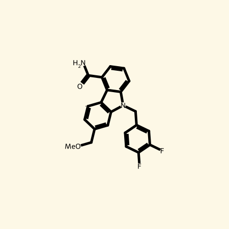 COCc1c[c]c2c3c(C(N)=O)cccc3n(Cc3ccc(F)c(F)c3)c2c1